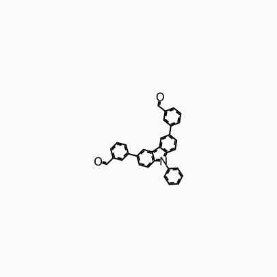 O=Cc1cccc(-c2ccc3c(c2)c2cc(-c4cccc(C=O)c4)ccc2n3-c2ccccc2)c1